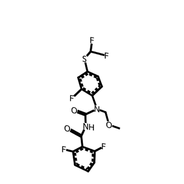 COCN(C(=O)NC(=O)c1c(F)cccc1F)c1ccc(SC(F)F)cc1F